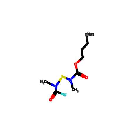 CCCCCCCCCCCCOC(=O)N(C)SN(C)C(=O)F